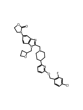 O=C1OCCN1c1ccc2c(c1)nc(CN1CCC(c3cccc(OCc4ccc(Cl)cc4F)n3)CC1)n2CC1CCO1